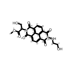 COC(=O)C(CO)N1C(=O)c2ccc3c4c(ccc(c24)C1=O)C(=O)N(NCCO)C3=O